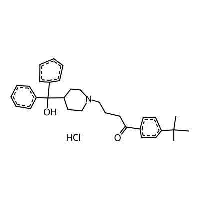 CC(C)(C)c1ccc(C(=O)CCCN2CCC(C(O)(c3ccccc3)c3ccccc3)CC2)cc1.Cl